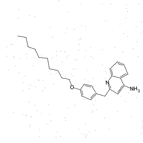 CCCCCCCCCCOc1ccc(Cc2cc(N)c3ccccc3n2)cc1